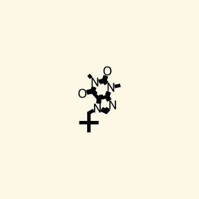 Cn1c(=O)c2c(ncn2CC(C)(C)C)n(C)c1=O